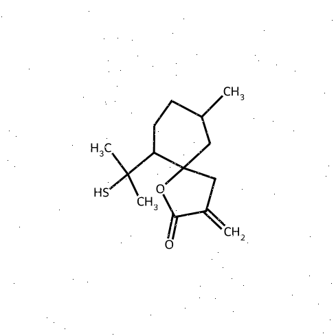 C=C1CC2(CC(C)CCC2C(C)(C)S)OC1=O